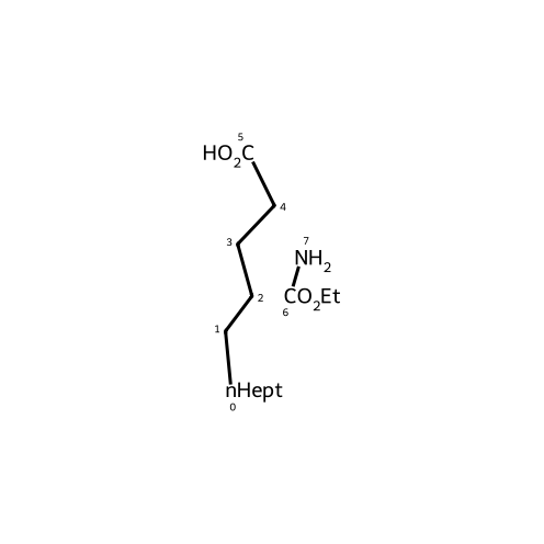 CCCCCCCCCCCC(=O)O.CCOC(N)=O